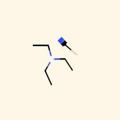 BC#N.CCN(CC)CC